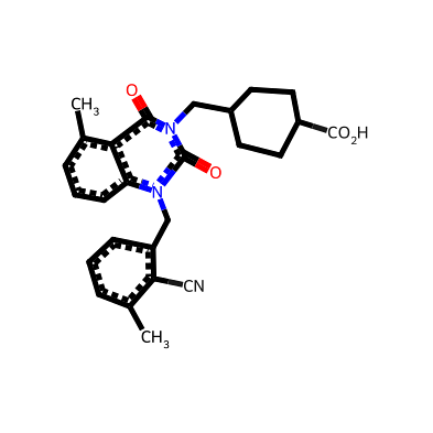 Cc1cccc(Cn2c(=O)n(CC3CCC(C(=O)O)CC3)c(=O)c3c(C)cccc32)c1C#N